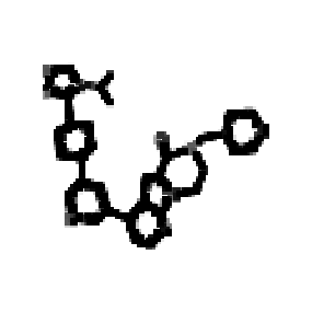 CC(C)n1cnnc1-c1ccc(-c2cncc(-c3ccnc4c3cc3n4CCN(Cc4ccncc4)C3=O)c2)cc1